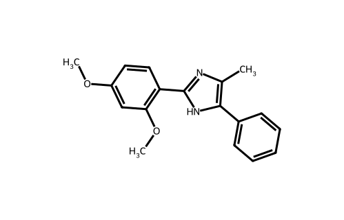 COc1ccc(-c2nc(C)c(-c3ccccc3)[nH]2)c(OC)c1